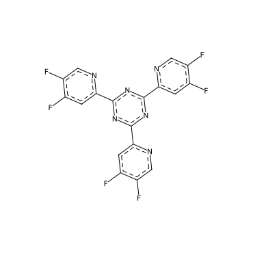 Fc1cnc(-c2nc(-c3cc(F)c(F)cn3)nc(-c3cc(F)c(F)cn3)n2)cc1F